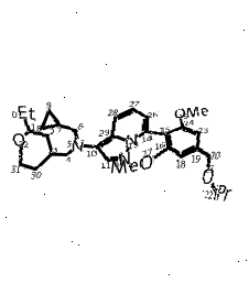 CCC1CC(CN(CC2CC2)c2cnn3c(-c4c(OC)cc(COC(C)C)cc4OC)cccc23)CCO1